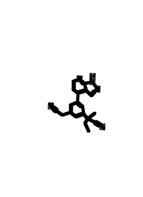 CCC(C)(C#N)c1cc(CC#N)cc(-c2ccnc3[nH]ncc23)c1